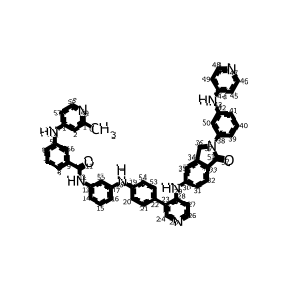 Cc1cc(Nc2cccc(C(=O)Nc3cccc(Nc4ccc(-c5cnccc5Nc5ccc6c(c5)CN(c5cccc(Nc7ccncc7)c5)C6=O)cc4)c3)c2)ccn1